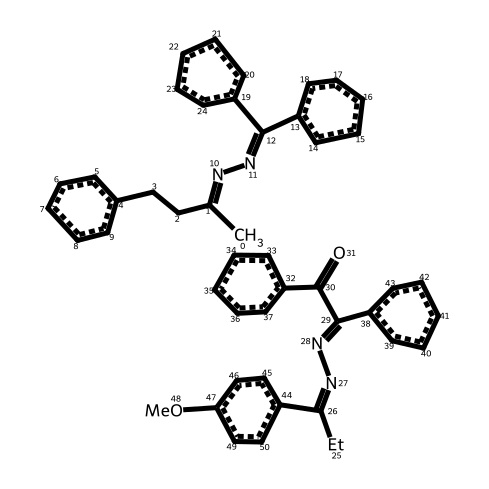 CC(CCc1ccccc1)=NN=C(c1ccccc1)c1ccccc1.CCC(=NN=C(C(=O)c1ccccc1)c1ccccc1)c1ccc(OC)cc1